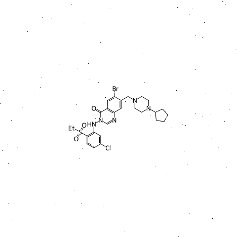 CCS(=O)(=O)c1ccc(Cl)cc1Nn1cnc2cc(CN3CCN(C4CCCC4)CC3)c(Br)cc2c1=O